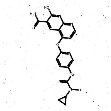 NC(=O)c1cc2c(Oc3ccc(NC(=O)N(Cl)C4CC4)cc3)ccnc2cc1O